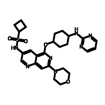 O=S(=O)(Nc1cnc2cc(N3CCOCC3)nc(OC3CCC(Nc4ncccn4)CC3)c2c1)C1CCC1